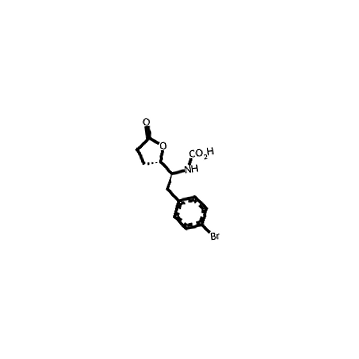 O=C(O)N[C@@H](Cc1ccc(Br)cc1)[C@@H]1CCC(=O)O1